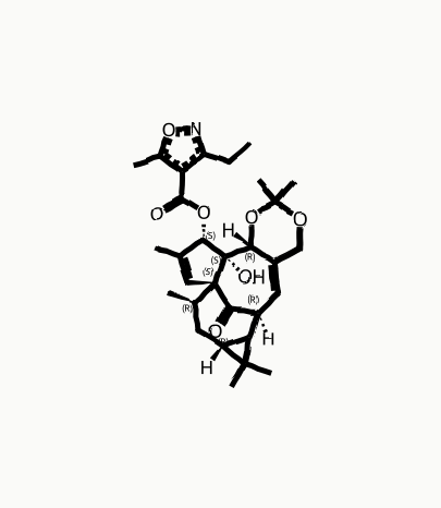 CCc1noc(C)c1C(=O)O[C@H]1C(C)=C[C@]23C(=O)[C@@H](C=C4COC(C)(C)O[C@H]4[C@]12O)C1[C@@H](C[C@H]3C)C1(C)C